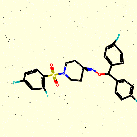 O=S(=O)(c1ccc(F)cc1F)N1CCC(=NOC(c2ccc(F)cc2)c2ccc(F)cc2)CC1